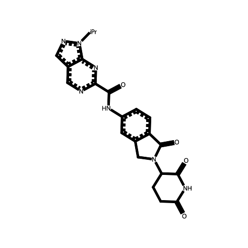 CC(C)n1ncc2cnc(C(=O)Nc3ccc4c(c3)CN(C3CCC(=O)NC3=O)C4=O)nc21